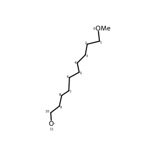 [CH2]OCCCCCCCCCC[O]